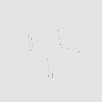 Fc1ccc2ccsc2c1Cl